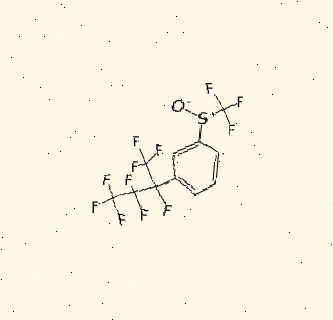 [O-][S+](c1[c]ccc(C(F)(C(F)(F)F)C(F)(F)C(F)(F)F)c1)C(F)(F)F